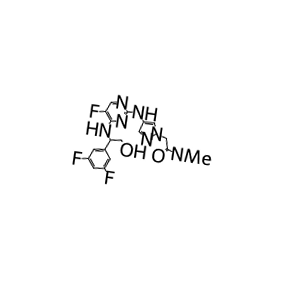 CNC(=O)Cn1cc(Nc2ncc(F)c(NC(CO)c3cc(F)cc(F)c3)n2)cn1